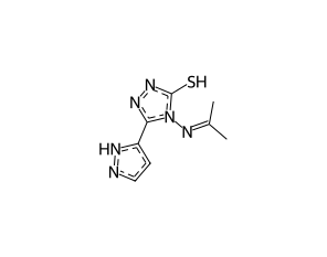 CC(C)=Nn1c(S)nnc1-c1ccn[nH]1